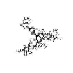 CCN1CCN(c2ccc(-c3cc(C(=O)NCc4c(C)cc(C)[nH]c4=O)c(C)c4c3OC(C)([C@H]3CC[C@H](N(C)C)CC3)O4)cn2)CC1